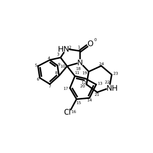 O=C1NC2c3cccc(c3)C2(c2cccc(Cl)c2)N1C1CCNCC1